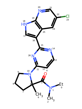 CCN(C)C(=O)C1(C)CCCN1c1ccnc(-c2c[nH]c3ncc(Cl)cc23)n1